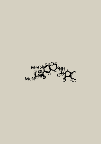 CCC1=C(C)CN(C(=O)NC2COc3cc(OC)c(S(=O)(=O)NC(=S)NC)cc3C2)C1=O